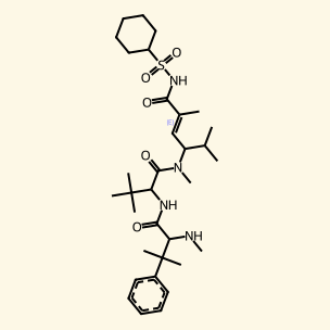 CNC(C(=O)NC(C(=O)N(C)C(/C=C(\C)C(=O)NS(=O)(=O)C1CCCCC1)C(C)C)C(C)(C)C)C(C)(C)c1ccccc1